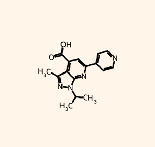 Cc1nn(C(C)C)c2nc(-c3ccncc3)cc(C(=O)O)c12